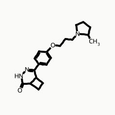 CC1CCCN1CCCOc1ccc(C2=NNC(=O)C3CCC23)cc1